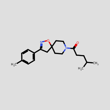 Cc1ccc(C2=NOC3(CCN(C(=O)CCC(C)C)CC3)C2)cc1